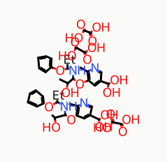 CCC(NC(Oc1cc(C(O)O)cnc1C)C(C)O)Oc1ccccc1.CCC(NC(Oc1cc(C(O)O)cnc1C)C(C)O)Oc1ccccc1.O=C(O)C(=O)O.O=C(O)C(=O)O.O=C(O)C(=O)O